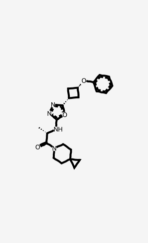 C[C@H](Nc1nnc([C@H]2C[C@@H](Oc3ccccc3)C2)o1)C(=O)N1CCC2(CC1)CC2